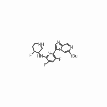 CC(C)(C)c1cn2c(-c3nc(NC4CNCCC4F)c(F)cc3F)cnc2cn1